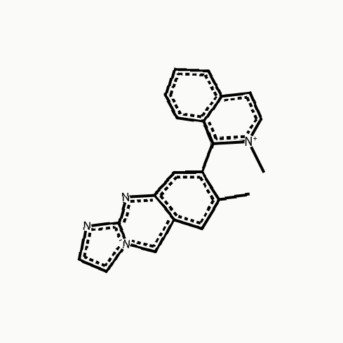 Cc1cc2cn3ccnc3nc2cc1-c1c2ccccc2cc[n+]1C